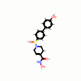 O=C(NO)C1=CCN([S+]([O-])c2ccc(-c3ccc(O)cc3)cc2)CC1